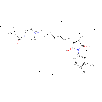 CC1=C(CCCCCCCN2CCN(C(=O)C3CC3)CC2)C(=O)N(c2ccc(C#N)c(C(F)(F)F)c2)C1=O